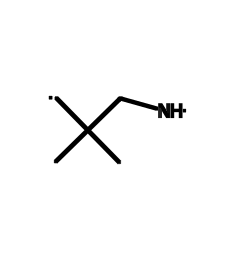 [CH2]C(C)(C)C[NH]